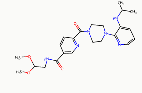 COC(CNC(=O)c1ccc(C(=O)N2CCN(c3ncccc3NC(C)C)CC2)nc1)OC